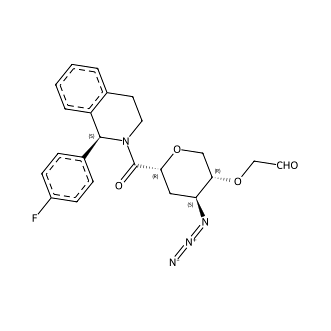 [N-]=[N+]=N[C@H]1C[C@H](C(=O)N2CCc3ccccc3[C@@H]2c2ccc(F)cc2)OC[C@@H]1OCC=O